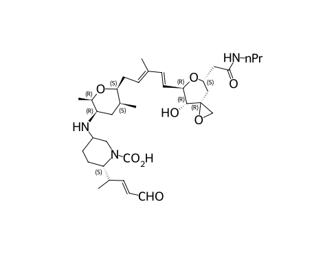 CCCNC(=O)C[C@@H]1C[C@@]2(CO2)[C@H](O)[C@@H](C=CC(C)=CC[C@@H]2O[C@H](C)[C@H](NC3CC[C@@H](C(C)C=CC=O)N(C(=O)O)C3)C[C@@H]2C)O1